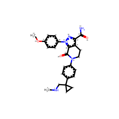 CNCC1(c2ccc(N3CCc4c(C(N)=O)nn(-c5ccc(OC)cc5)c4C3=O)cc2)CC1